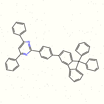 c1ccc(-c2cc(-c3ccccc3)nc(-c3ccc(-c4ccc5c(c4)-c4ccccc4C5(c4ccccc4)c4ccccc4)cc3)n2)cc1